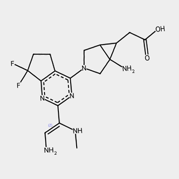 CN/C(=C\N)c1nc(N2CC3C(CC(=O)O)C3(N)C2)c2c(n1)C(F)(F)CC2